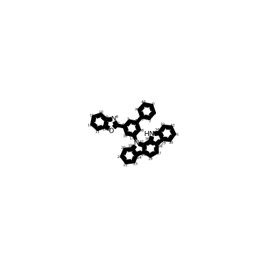 c1ccc(-c2cc(-c3nc4ccccc4o3)cc(-n3c4ccccc4c4ccc5c6ccccc6[nH]c5c43)c2)cc1